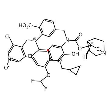 O=C(O)c1ccc(CN(C(=O)O[C@H]2CN3CCC2CC3)c2ccccc2O)cc1[C@@H](Cc1c(Cl)c[n+]([O-])cc1Cl)c1ccc(OC(F)F)c(OCC2CC2)c1